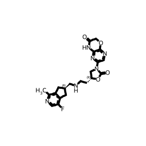 Cc1ncc(F)c2c1C[C@@H](CNCC[C@@H]1CN(c3cnc4c(n3)NC(=O)CO4)C(=O)O1)C2